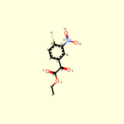 CCOC(=O)C(=O)c1ccc(F)c([N+](=O)[O-])c1